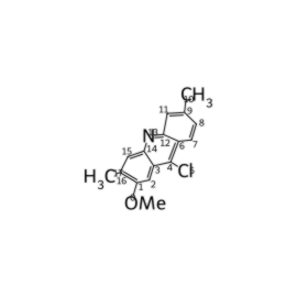 COc1cc2c(Cl)c3ccc(C)cc3nc2cc1C